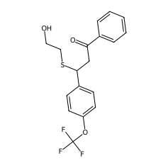 O=C(CC(SCCO)c1ccc(OC(F)(F)F)cc1)c1ccccc1